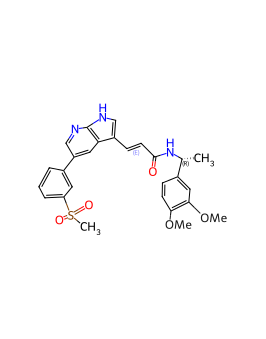 COc1ccc([C@@H](C)NC(=O)/C=C/c2c[nH]c3ncc(-c4cccc(S(C)(=O)=O)c4)cc23)cc1OC